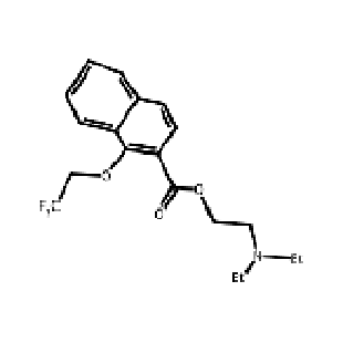 CCN(CC)CCOC(=O)c1ccc2ccccc2c1OCC(F)(F)F